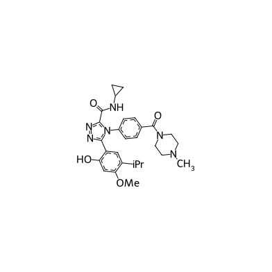 COc1cc(O)c(-c2nnc(C(=O)NC3CC3)n2-c2ccc(C(=O)N3CCN(C)CC3)cc2)cc1C(C)C